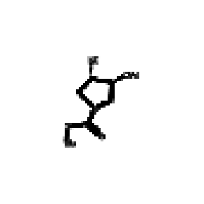 [C-]#[N+][C@H]1CN(C(=O)OC(C)(C)C)C[C@@H]1OC(C)=O